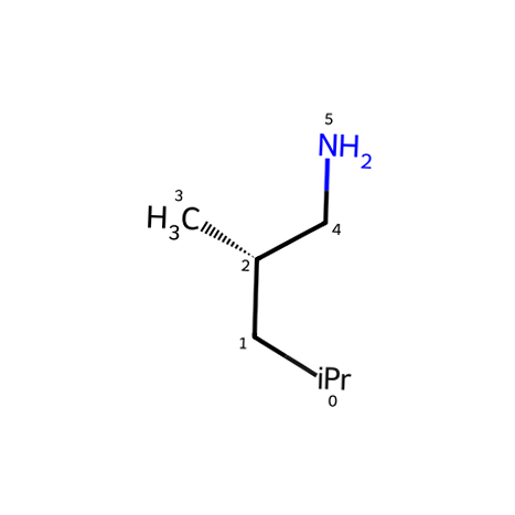 CC(C)C[C@H](C)CN